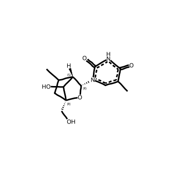 Cc1cn([C@@H]2O[C@@]3(CO)CC(C)[C@H]2C3O)c(=O)[nH]c1=O